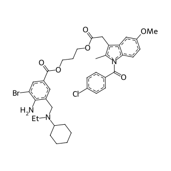 CCN(Cc1cc(C(=O)OCCCOC(=O)Cc2c(C)n(C(=O)c3ccc(Cl)cc3)c3ccc(OC)cc23)cc(Br)c1N)C1CCCCC1